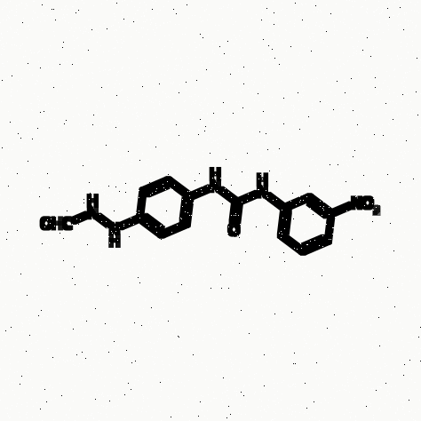 O=CNNc1ccc(NC(=O)Nc2cccc([N+](=O)[O-])c2)cc1